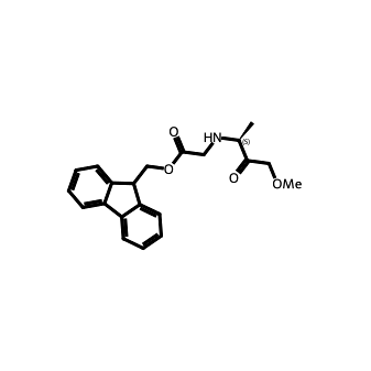 COCC(=O)[C@H](C)NCC(=O)OCC1c2ccccc2-c2ccccc21